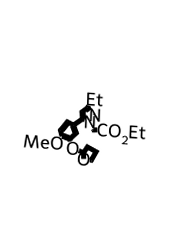 CCOC(=O)Cn1nc(CC)cc1-c1ccc(OC)c(OC2CCCO2)c1